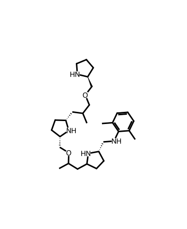 Cc1cccc(C)c1NC[C@@H]1CCC(CC(C)OC[C@@H]2CC[C@H](CC(C)COC[C@@H]3CCCN3)N2)N1